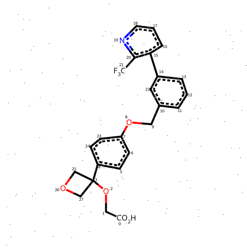 O=C(O)COC1(c2ccc(OCc3cccc(-c4cccnc4C(F)(F)F)c3)cc2)COC1